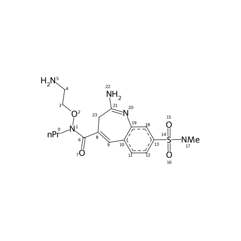 CCCN(OCCN)C(=O)C1=Cc2ccc(S(=O)(=O)NC)cc2N=C(N)C1